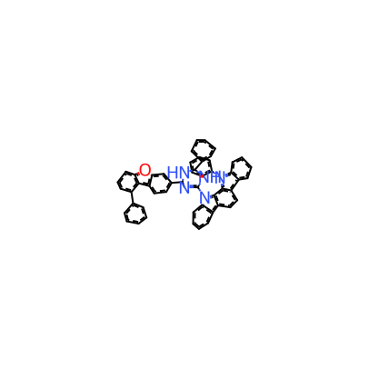 c1ccc(-c2cccc3oc4cc(C5N=C(n6c7ccccc7c7ccc8c9ccccc9n(-c9ccccc9)c8c76)NC(c6ccccc6)N5)ccc4c23)cc1